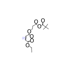 CCOC(=O)/C=C\C(=O)OCCC(=O)OC(=O)C(C)(C)C